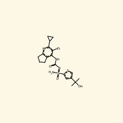 CCc1c(C2CC2)nc2c(c1NC(=O)N=S(N)(=O)c1cc(C(C)(C)O)cs1)CCC2